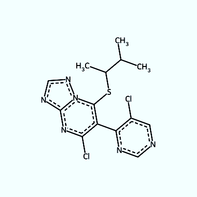 CC(C)C(C)Sc1c(-c2ncncc2Cl)c(Cl)nc2ncnn12